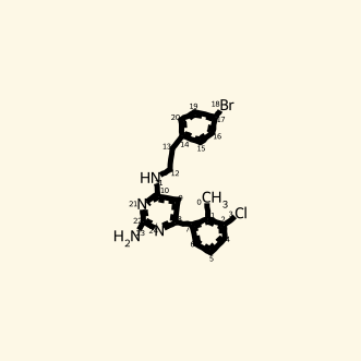 Cc1c(Cl)cccc1-c1cc(NCCc2ccc(Br)cc2)nc(N)n1